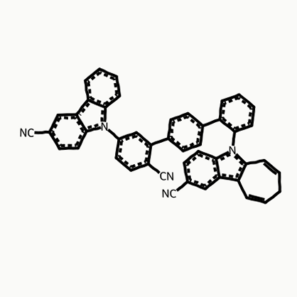 N#Cc1ccc2c(c1)c1c(n2-c2ccccc2-c2ccc(-c3cc(-n4c5ccccc5c5cc(C#N)ccc54)ccc3C#N)cc2)C=CCC=C1